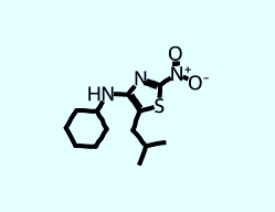 CC(C)Cc1sc([N+](=O)[O-])nc1NC1CCCCC1